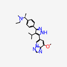 CCN(C)[C@@H](C)c1ccc(-c2n[nH]c(-c3cc(OC)c4ncnn4c3)c2C(C)C)cc1